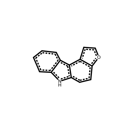 c1ccc2c(c1)[nH]c1ccc3occc3c12